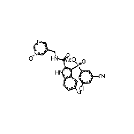 COP(=O)(c1cc(Cl)cc(C#N)c1)c1c(C(=O)NCc2cnc[n+]([O-])c2)[nH]c2ccc(Cl)cc12